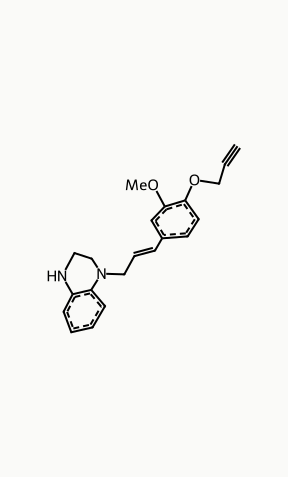 C#CCOc1ccc(/C=C/CN2CCNc3ccccc32)cc1OC